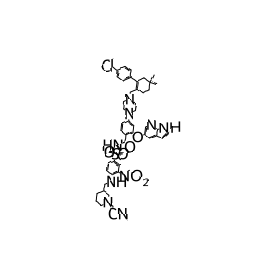 CC1(C)CCC(CN2CCN(c3ccc(C(=O)NS(=O)(=O)c4ccc(NCC5CCCN(CC#N)C5)c([N+](=O)[O-])c4)c(Oc4cnc5[nH]ccc5c4)c3)CC2)=C(c2ccc(Cl)cc2)C1